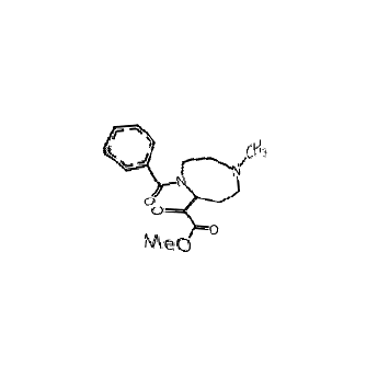 COC(=O)C(=O)C1CCN(C)CCN1C(=O)c1ccccc1